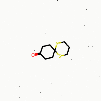 O=C1CCC2(CC1)SCCCS2